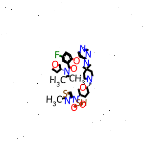 Cc1nc(N([C@@H]2CC[C@@H](CN3CCC4(CC3)CN(c3ncncc3Oc3ccc(F)cc3C(=O)N(C(C)C)[C@@H]3CCOC3)C4)OC2)[SH](=O)=O)cs1